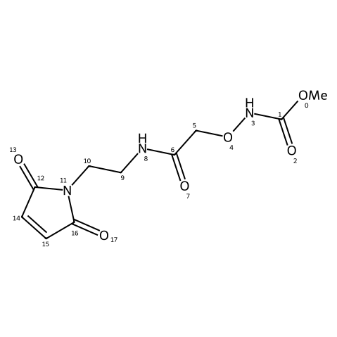 COC(=O)NOCC(=O)NCCN1C(=O)C=CC1=O